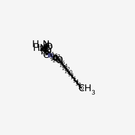 CCCCCCCCCCCCCCCCCCOc1ccc(/C=C/C(=O)Oc2nc[nH]c2C(N)=O)cc1